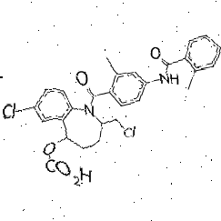 Cc1ccccc1C(=O)Nc1ccc(C(=O)N2c3ccc(Cl)cc3C(OC(=O)O)CCC2CCl)c(C)c1